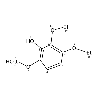 CCOc1ccc(OC(=O)O)c(O)c1OCC